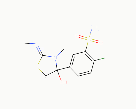 C/N=C1\SCC(O)(c2ccc(Cl)c(S(N)(=O)=O)c2)N1C